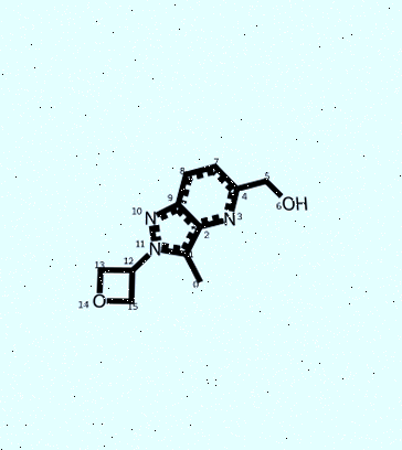 Cc1c2nc(CO)ccc2nn1C1COC1